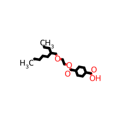 CCCCCC(CCC)COCCOC(=O)C1CCC(C(=O)O)CC1